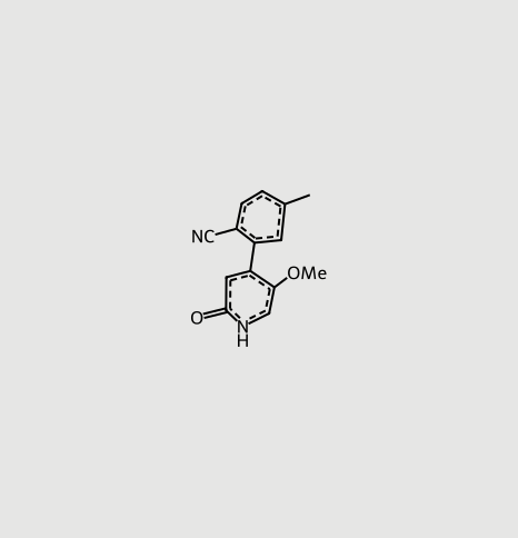 COc1c[nH]c(=O)cc1-c1cc(C)ccc1C#N